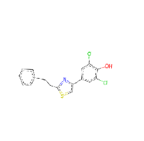 Oc1c(Cl)cc(-c2csc(CCc3ccccc3)n2)cc1Cl